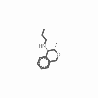 CCCN[C@H]1c2ccccc2CO[C@H]1C